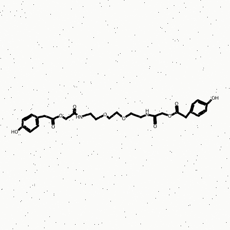 O=C(COC(=O)Cc1ccc(O)cc1)NCCOCCOCCNC(=O)COC(=O)Cc1ccc(O)cc1